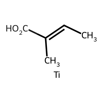 CC=C(C)C(=O)O.[Ti]